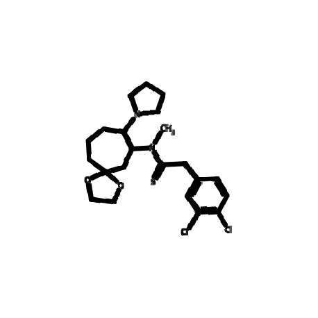 CN(C(=S)Cc1ccc(Cl)c(Cl)c1)C1CC2(CCCC1N1CCCC1)OCCO2